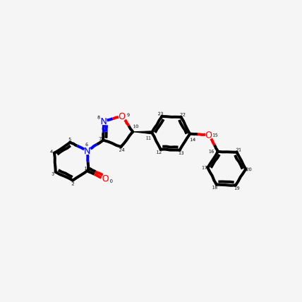 O=c1ccccn1C1=NO[C@@H](c2ccc(Oc3ccccc3)cc2)C1